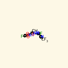 C[C@@H](C[C@@H](F)CNS(=O)(=O)c1ccc(F)cc1)C(=O)NCc1cc(-c2ccc(C(F)(F)F)nc2)c(F)cn1